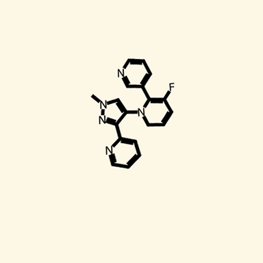 Cn1cc(N2CC=CC(F)=C2c2cccnc2)c(-c2ccccn2)n1